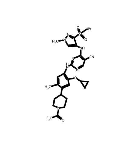 Cc1cc(Nc2ncc(C#N)c(Nc3cn(C)nc3S(=O)(=O)C(C)C)n2)c(OC2CC2)cc1C1CCN(C(=O)C(F)(F)F)CC1